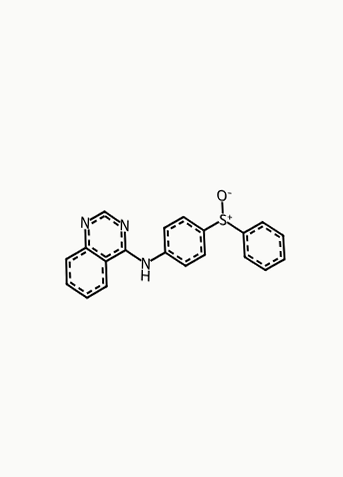 [O-][S+](c1ccccc1)c1ccc(Nc2ncnc3ccccc23)cc1